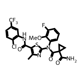 COc1c(F)cccc1N(C(=O)C1(C(N)=O)CC1)c1nc(C)c(C(=O)Nc2cc(C(F)(F)F)ccc2Cl)s1